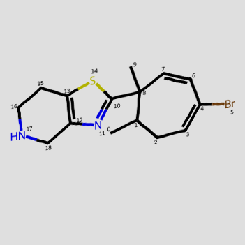 CC1CC=C(Br)C=CC1(C)c1nc2c(s1)CCNC2